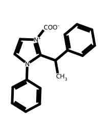 CC(c1ccccc1)c1n(-c2ccccc2)cc[n+]1C(=O)[O-]